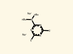 CCCCN(CCCC)c1nc([S-])nc([S-])n1.[Na+].[Na+]